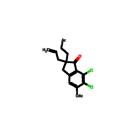 C=CCC1(CCC(C)=O)Cc2cc(OC(C)=O)c(Cl)c(Cl)c2C1=O